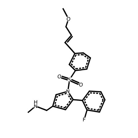 CNCc1cc(-c2ccccc2F)n(S(=O)(=O)c2cccc(C=CCOC)c2)c1